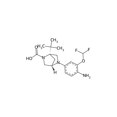 CC(C)(C)[C@]12C[C@@H](CN1C(=O)O)N(c1ccc(N)c(OC(F)F)c1)C2